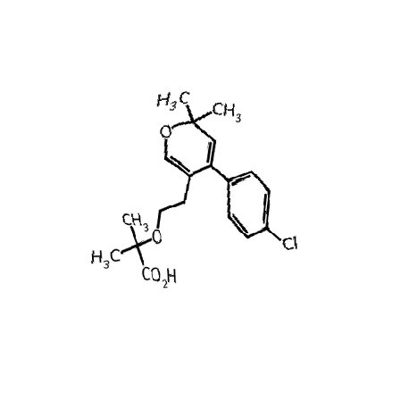 CC1(C)C=C(c2ccc(Cl)cc2)C(CCOC(C)(C)C(=O)O)=CO1